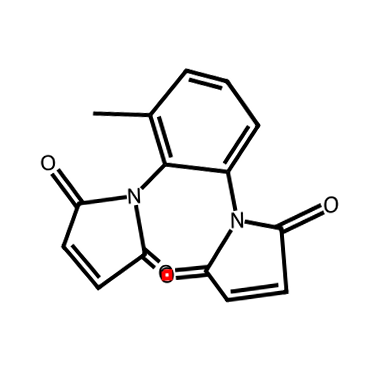 Cc1cccc(N2C(=O)C=CC2=O)c1N1C(=O)C=CC1=O